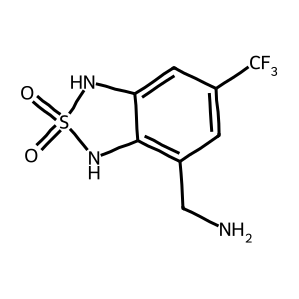 NCc1cc(C(F)(F)F)cc2c1NS(=O)(=O)N2